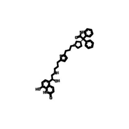 NC(=O)C(c1ccccc1)(c1ccccc1)[C@@H]1CCN(CCCc2ccc(CCCNC[C@@H](O)c3ccc(O)c4[nH]c(=O)ccc34)s2)C1